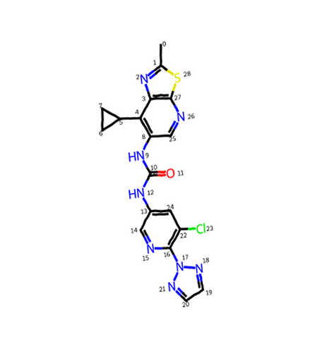 Cc1nc2c(C3CC3)c(NC(=O)Nc3cnc(-n4nccn4)c(Cl)c3)cnc2s1